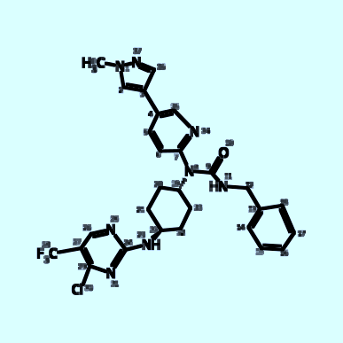 Cn1cc(-c2ccc(N(C(=O)NCc3ccccc3)[C@H]3CC[C@H](Nc4ncc(C(F)(F)F)c(Cl)n4)CC3)nc2)cn1